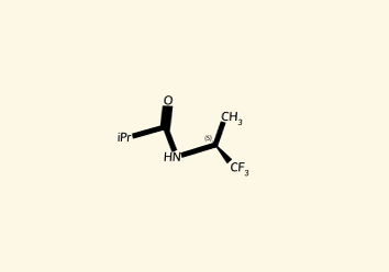 CC(C)C(=O)N[C@@H](C)C(F)(F)F